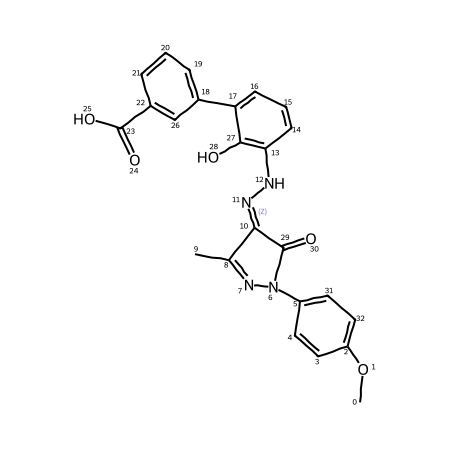 COc1ccc(N2N=C(C)/C(=N/Nc3cccc(-c4cccc(C(=O)O)c4)c3O)C2=O)cc1